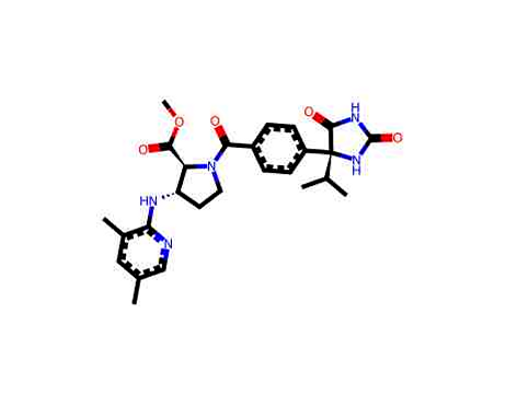 COC(=O)[C@@H]1[C@@H](Nc2ncc(C)cc2C)CCN1C(=O)c1ccc([C@@]2(C(C)C)NC(=O)NC2=O)cc1